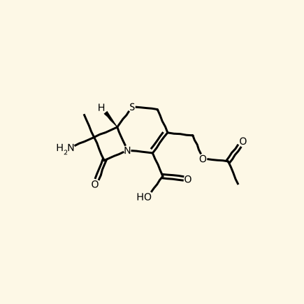 CC(=O)OCC1=C(C(=O)O)N2C(=O)C(C)(N)[C@@H]2SC1